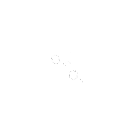 CCN(CC)c1ccc(CN(C(=O)C2CCOC2)c2ccc(F)cc2)cn1